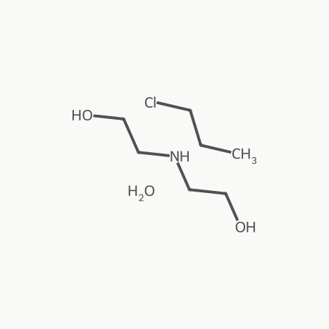 CCCCl.O.OCCNCCO